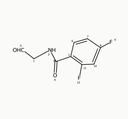 O=[C]CNC(=O)c1ccc(F)cc1F